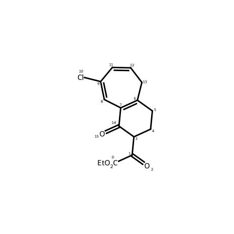 CCOC(=O)C(=O)C1CCC2=C(C=C(Cl)C=CC2)C1=O